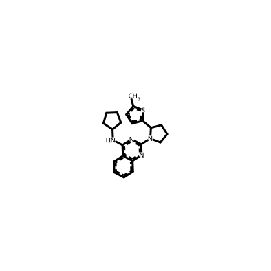 Cc1ccc(C2CCCN2c2nc(NC3CCCC3)c3ccccc3n2)s1